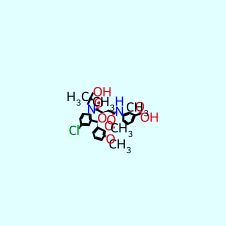 COc1cccc([C@H]2O[C@H](CC(=O)Nc3cccc(C(=O)O)c3C)C(=O)N(CC(C)(C)CO)c3ccc(Cl)cc32)c1OC